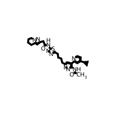 CC(=O)Nc1nnc(CCCCc2nnc(NC(=O)Cc3cc4n(n3)CCCC4)s2)cc1-c1cc(C2CC2)ccn1